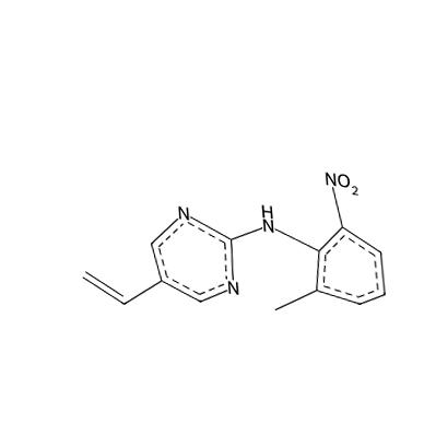 C=Cc1cnc(Nc2c(C)cccc2[N+](=O)[O-])nc1